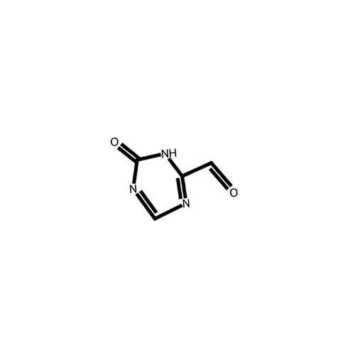 O=Cc1ncnc(=O)[nH]1